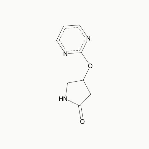 O=C1CC(Oc2ncccn2)CN1